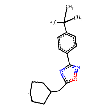 CC(C)(C)c1ccc(-c2noc(CC3CC[CH]CC3)n2)cc1